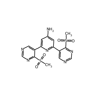 CS(=O)(=O)c1ncncc1-c1cc(N)cc(-c2cncnc2S(C)(=O)=O)n1